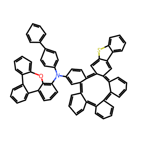 c1ccc(-c2ccc(N(c3ccc4c(c3)c3ccccc3c3ccccc3c3ccccc3c3cc5c(cc43)sc3ccccc35)c3cccc4c3Oc3ccccc3-c3ccccc3-4)cc2)cc1